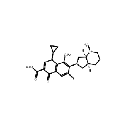 COC(=O)c1cn(C2CC2)c2c(OC)c(N3C[C@@H]4CCCN(C)[C@@H]4C3)c(F)cc2c1=O